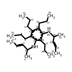 CC=CC(C)Nc1c(CCC)c(CCC)c(CCC)c(NC(C)C=CC)c1CCC